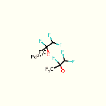 [O-]C(F)(C(F)F)C(F)(F)F.[O-]C(F)(C(F)F)C(F)(F)F.[Pd+2]